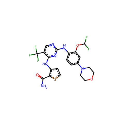 NC(=O)c1sccc1Nc1nc(Nc2ccc(N3CCOCC3)cc2OC(F)F)ncc1C(F)(F)F